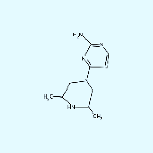 CC1CN(c2ccnc(N)n2)CC(C)N1